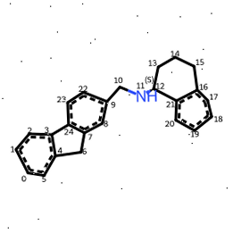 c1ccc2c(c1)Cc1cc(CN[C@H]3CCCc4ccccc43)ccc1-2